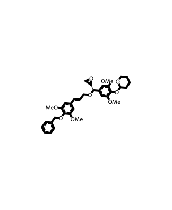 COc1cc(/C=C/COC(c2cc(OC)c(OC3CCCCO3)c(OC)c2)[C@@H]2CO2)cc(OC)c1OCc1ccccc1